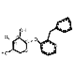 O[C@@H]1[C@@H](O)[C@H](Oc2cccnc2Cc2ccccc2)SC[C@H]1O